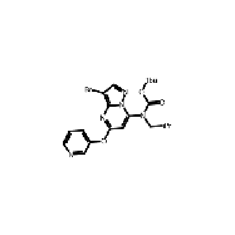 CC(C)CN(C(=O)OC(C)(C)C)c1cc(Oc2cccnc2)nc2c(Br)cnn12